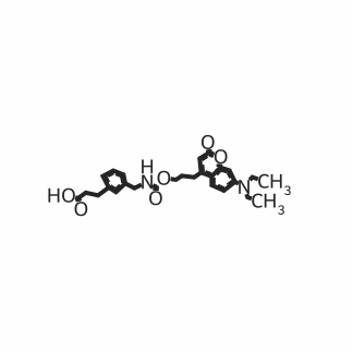 CCN(CC)c1ccc2c(CCCOC(=O)NCc3cccc(CCC(=O)O)c3)cc(=O)oc2c1